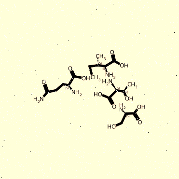 CC[C@H](C)[C@H](N)C(=O)O.C[C@@H](O)[C@H](N)C(=O)O.NC(=O)CC[C@H](N)C(=O)O.N[C@@H](CO)C(=O)O